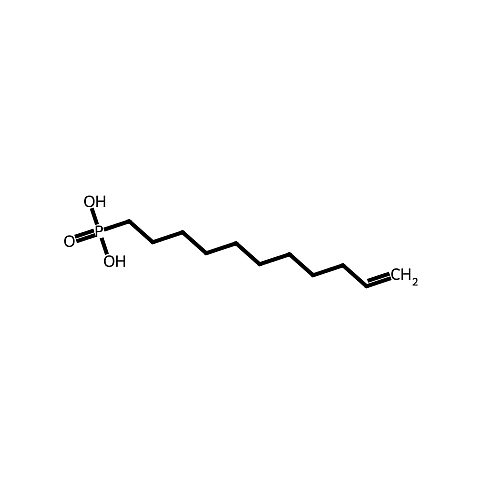 C=CCCCCCCCCCP(=O)(O)O